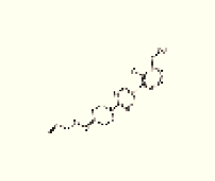 C=CCON=C1CCN(c2ncc(-c3cccc(CO)c3F)cn2)CC1